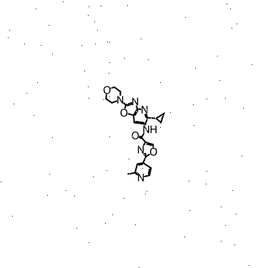 Cc1cc(-c2nc(C(=O)Nc3cc4oc(N5CCOCC5)nc4nc3C3CC3)co2)ccn1